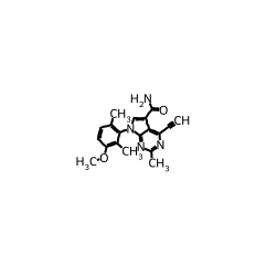 C#Cc1nc(C)nc2c1c(C(N)=O)cn2-c1c(C)ccc(OC)c1C